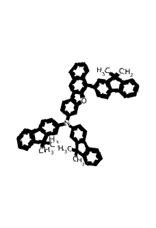 CC1(C)c2ccccc2-c2ccc(-c3c4ccccc4cc4c3oc3cc(N(c5ccc6c(c5)C(C)(C)c5ccccc5-6)c5ccc6c(c5)C(C)(C)c5ccccc5-6)ccc34)cc21